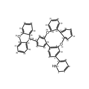 C1=CCNC(c2ccc3c(c2)Oc2ccccc2-c2ccccc2Oc2cc(N4c5ccccc5Oc5ccccc54)ccc2-3)=C1